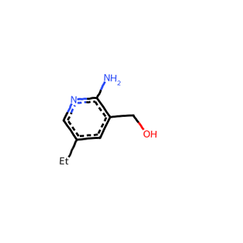 CCc1cnc(N)c(CO)c1